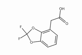 O=C(O)Cc1cccc2c1OC(F)(F)O2